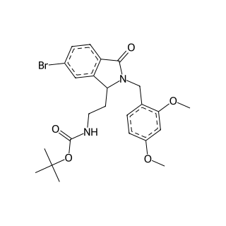 COc1ccc(CN2C(=O)c3ccc(Br)cc3C2CCNC(=O)OC(C)(C)C)c(OC)c1